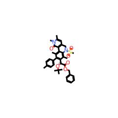 Cc1ccc(-c2c(C)c3c(c(C)c2[C@H](OC(C)(C)C)C(=O)OCc2ccccc2)N(S(C)(=O)=O)Cc2cc(C)n(C)c(=O)c2-3)cc1